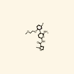 COCCOc1ccc(F)cc1-c1ccc(NC(=O)c2ccnn2C)nc1N